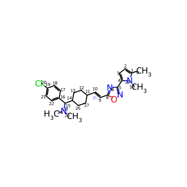 Cc1ccc(-c2noc(/C=C/C3CCC(C(c4ccc(Cl)cc4)N(C)C)CC3)n2)n1C